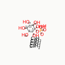 O=P(O)(O)O[C@]1(O)[C@H](O)[C@H](O)[C@@H](O)[C@H](O)[C@H]1O.[CaH2].[CaH2].[CaH2].[CaH2]